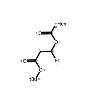 CCCCCCC(=O)OC(CC)CC(=O)OC(C)(C)C